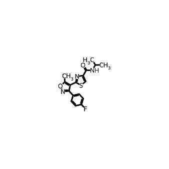 Cc1onc(-c2ccc(F)cc2)c1-c1nc(C(=O)NC(C)C)cs1